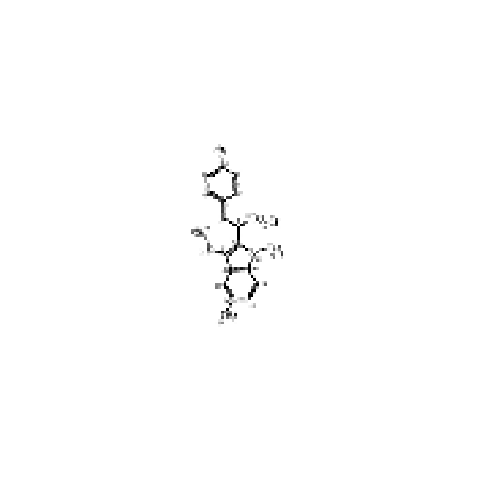 CCOC(=O)C(Cc1ccc(Br)cc1)c1c(SC(C)(C)C)c2cc(O)ccc2n1C